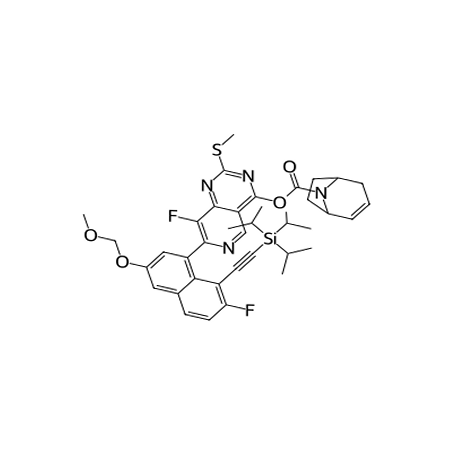 COCOc1cc(-c2ncc3c(OC(=O)N4C5C=CCC4CC5)nc(SC)nc3c2F)c2c(C#C[Si](C(C)C)(C(C)C)C(C)C)c(F)ccc2c1